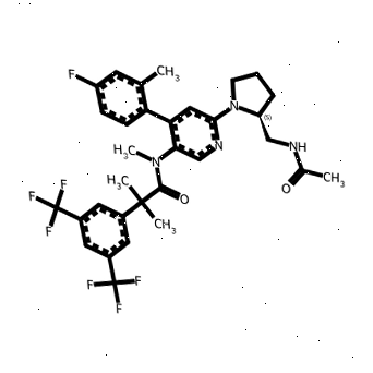 CC(=O)NC[C@@H]1CCCN1c1cc(-c2ccc(F)cc2C)c(N(C)C(=O)C(C)(C)c2cc(C(F)(F)F)cc(C(F)(F)F)c2)cn1